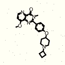 COc1ccnc2c(=O)n(C)c(-c3ccc(OC4CCN(C5CCC5)CC4)cc3)nc12